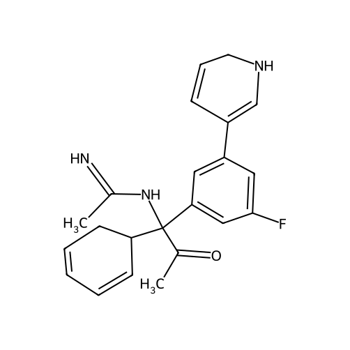 CC(=N)NC(C(C)=O)(c1cc(F)cc(C2=CNCC=C2)c1)C1C=CC=CC1